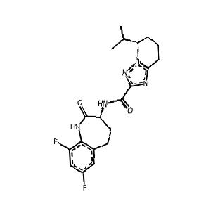 CC(C)[C@H]1CCCc2nc(C(=O)N[C@H]3CCc4cc(F)cc(F)c4NC3=O)nn21